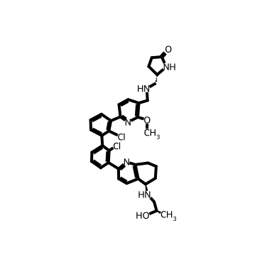 COc1nc(-c2cccc(-c3cccc(-c4ccc5c(n4)CCC[C@H]5NC[C@@H](C)O)c3Cl)c2Cl)ccc1CNC[C@@H]1CCC(=O)N1